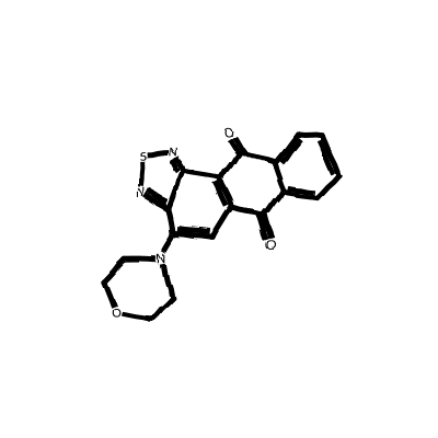 O=C1c2ccccc2C(=O)c2c1cc(N1CCOCC1)c1nsnc21